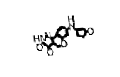 O=C1C=C(Nc2ccc3c(c2)OCC2C(=O)C(=O)NN=C32)CC1